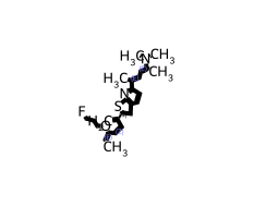 C=C(/C=C\C(=C/C)OCCCF)[C@@H]1Cc2ccc(/C(C)=C/C=C(\C)N(C)C)nc2S1